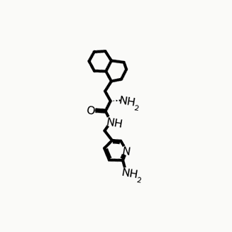 Nc1ccc(CNC(=O)[C@@H](N)CC2CCCC3CCCCC32)cn1